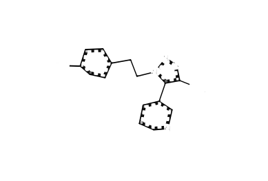 O=C(O)c1nnn(CCc2ccc(C(F)(F)F)cc2)c1-c1cccnc1